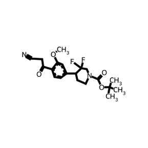 COc1cc(C2CCN(C(=O)OC(C)(C)C)CC2(F)F)ccc1C(=O)CC#N